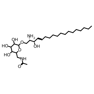 CCCCCCCCCCCCC/C=C/[C@@H](O)[C@@H](N)COC1OC(CNC(C)=O)C(O)C(O)C1O